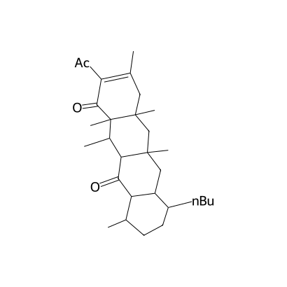 CCCCC1CCC(C)C2C(=O)C3C(C)C4(C)C(=O)C(C(C)=O)=C(C)CC4(C)CC3(C)CC12